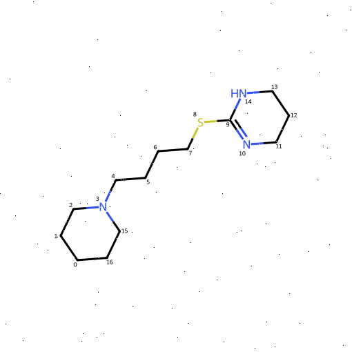 C1CCN(CCCCSC2=NCCCN2)CC1